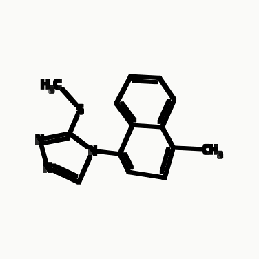 CSc1nncn1-c1ccc(C)c2ccccc12